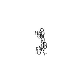 CC(C)CCN1C(=O)C(CC(=O)N2CCC(N3CCc4ccccc4NC3=O)CC2)SC1c1ccccc1F